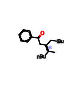 CCCC/C(C)=C(\CC(=O)c1ccccc1)CC(C)CC